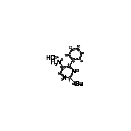 CC(C)(C)c1ncc(N)c(-c2ccccc2)n1.Cl